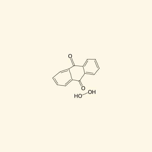 O=C1c2ccccc2C(=O)c2ccccc21.OO